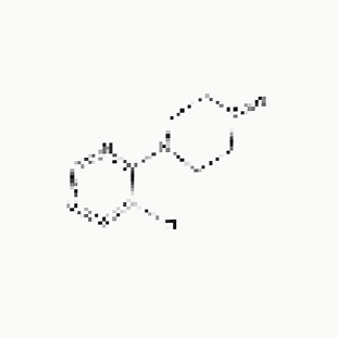 O=C1CCN(c2ncccc2Cl)CC1